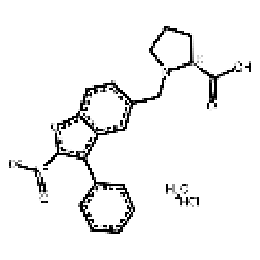 Cl.O.O=C(O)[C@@H]1CCCN1Cc1ccc2oc([N+](=O)[O-])c(-c3ccccc3)c2c1